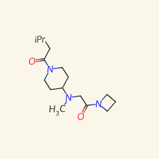 CC(C)CC(=O)N1CCC(N(C)CC(=O)N2CCC2)CC1